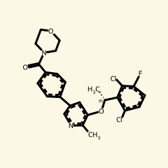 Cc1ncc(-c2ccc(C(=O)N3CCOCC3)cc2)cc1O[C@H](C)c1c(Cl)ccc(F)c1Cl